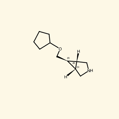 C1CCC(OC[C@H]2[C@@H]3CNC[C@@H]32)C1